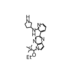 CCOC(n1ccc2nc(-c3cccnc3NC3CCNC3)cnc21)[Si](C)(C)C